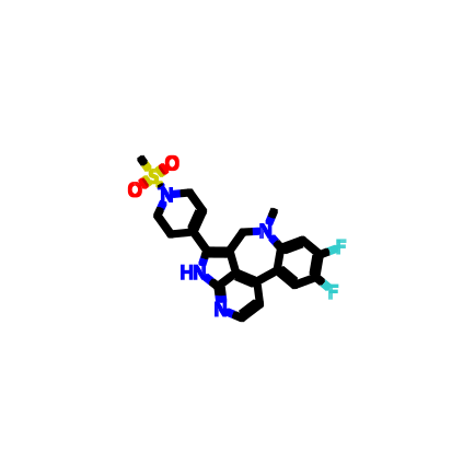 CN1Cc2c(C3=CCN(S(C)(=O)=O)CC3)[nH]c3nccc(c23)-c2cc(F)c(F)cc21